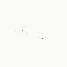 COC(=O)C12CCC(CSN)(CC1)CC2